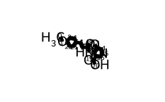 COc1ccc(/C=C/C(=O)Nc2c(O)cncc2C(=O)O)cc1